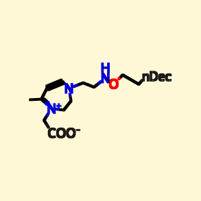 CCCCCCCCCCCCONCCN1C#CC(C)=[N+](CC(=O)[O-])CC1